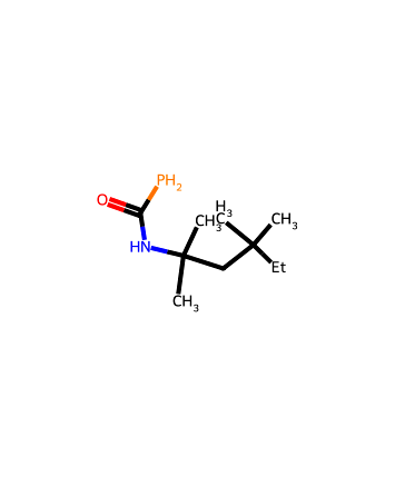 CCC(C)(C)CC(C)(C)NC(=O)P